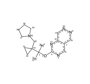 [2H]C([2H])(Oc1ncc2cnncc2n1)C1(CN2CCCC2)CC1